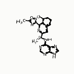 Cc1nc(-c2nc([C@H](C)Nc3ncnc4[nH]cnc34)cc3cccc(Cl)c23)no1